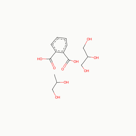 CC(O)CO.O=C(O)c1ccccc1C(=O)O.OCC(O)CO